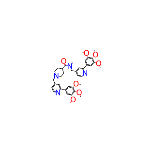 COc1cc(-c2cc(CN3CCC(C(=O)N(C)Cc4ccnc(-c5cc(OC)c(OC)c(OC)c5)c4)CC3)ccn2)cc(OC)c1OC